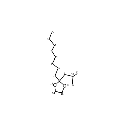 CCCCCCCCC1(CC(C)C)OCCO1